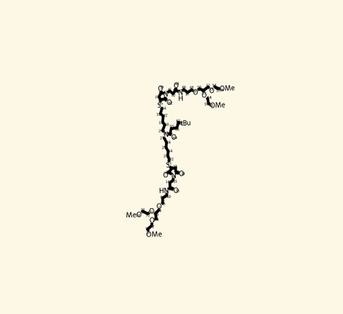 COCCOCC(COCCCNC(=O)CCN1C(=O)CC(SCCCCCCN(CCCCCCSC2CC(=O)N(CCC(=O)NCCCOCC(COCCOC)OCCOC)C2=O)C(=O)CCCC(C)(C)C)C1=O)OCCOC